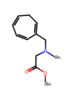 CCC(C)N(CC(=O)OC(C)(C)C)CC1=CCC=CC=C1